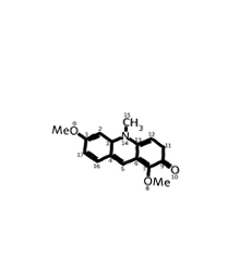 COC1=CC2C(=CC3=C(OC)C(=O)CC=C3N2C)C=C1